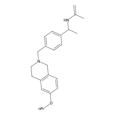 C=C(C)NC(C)c1ccc(CN2CCc3cc(OCCC)ccc3C2)cc1